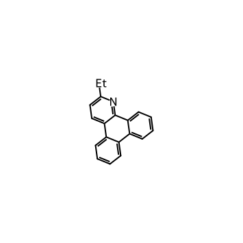 CCc1ccc2c3ccccc3c3ccccc3c2n1